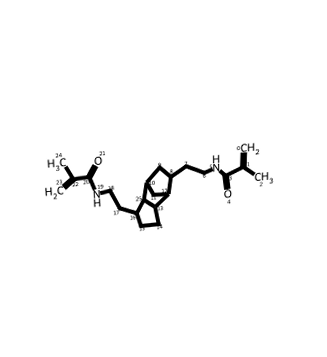 C=C(C)C(=O)NCCC1CC2CC1C1CCC(CCNC(=O)C(=C)C)C21